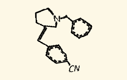 N#Cc1ccc(/C=C2/CCCN(Cc3ccccc3)C2)cc1